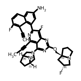 C#Cc1c(F)ccc2cc(N)cc(-c3nc(C#CC)c4c(N5C[C@H]6CC[C@@H](C5)N6)nc(OC[C@@]56CCCN5C[C@H](F)C6)nc4c3F)c12